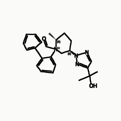 C[C@@H]1CC[C@@H](n2ncc(C(C)(C)O)n2)C[N+]1(C=O)c1ccccc1-c1ccccc1